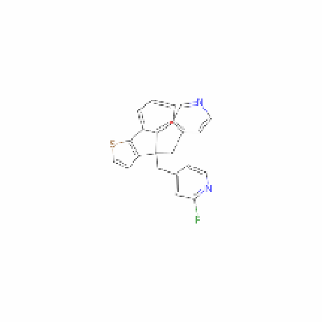 Fc1cc(CC2(Cc3ccncc3)c3ccccc3-c3sccc32)ccn1